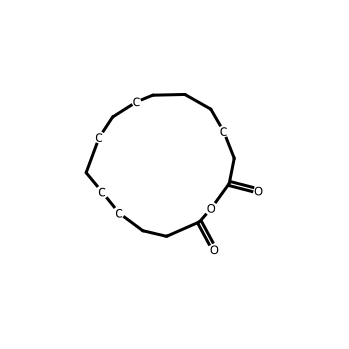 O=C1CCCCCCCCCCCCCC(=O)O1